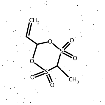 C=CC1OS(=O)(=O)C(C)S(=O)(=O)O1